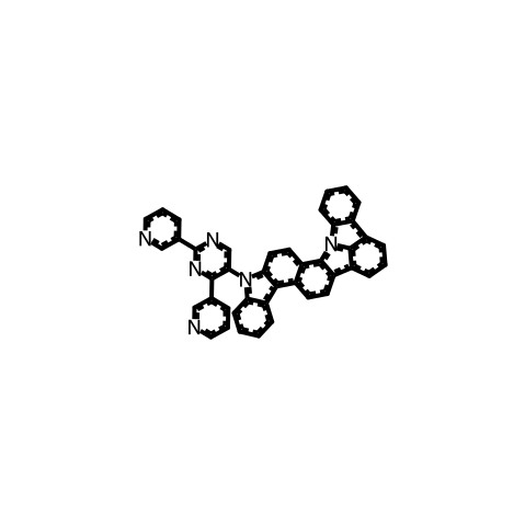 c1cncc(-c2ncc(-n3c4ccccc4c4c5ccc6c7cccc8c9ccccc9n(c6c5ccc43)c87)c(-c3cccnc3)n2)c1